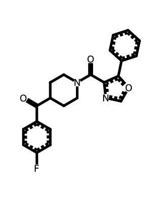 O=C(c1ccc(F)cc1)C1CCN(C(=O)c2ncoc2-c2ccccc2)CC1